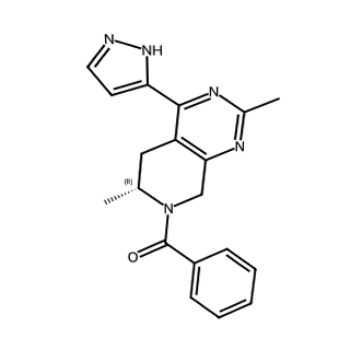 Cc1nc2c(c(-c3ccn[nH]3)n1)C[C@@H](C)N(C(=O)c1ccccc1)C2